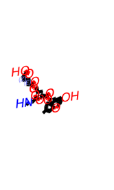 CNCC(=O)O[C@@H](CCCOC(=O)/C=C/C=C\C(=O)O)C(=O)OC[C@]12CCC(C)=CC1OC1CCC2(C)C1CO